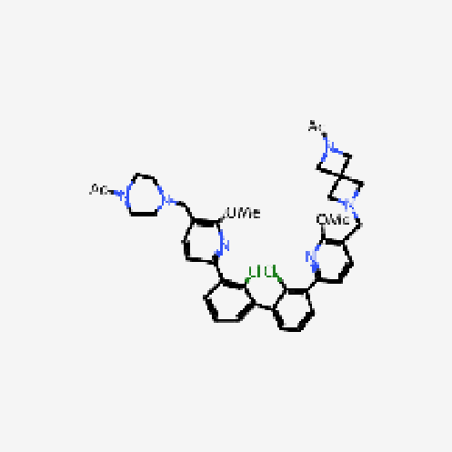 COc1nc(-c2cccc(-c3cccc(-c4ccc(CN5CC6(C5)CN(C(C)=O)C6)c(OC)n4)c3Cl)c2Cl)ccc1CN1CCN(C(C)=O)CC1